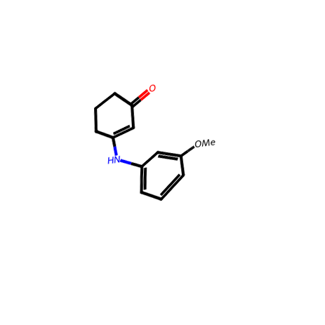 COc1cccc(NC2=CC(=O)CCC2)c1